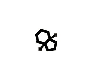 [CH]1CCC[C@H]2CCC[C@@H]12